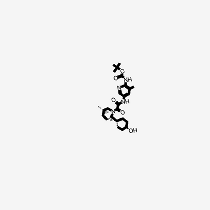 Cc1cc(NC(=O)C(=O)N2C[C@@H](C)CC[C@H]2[C@H]2CC[C@H](O)CC2)cnc1NC(=O)OC(C)(C)C